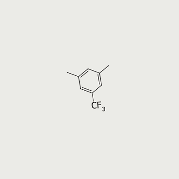 Cc1cc(C)cc(C(F)(F)F)c1